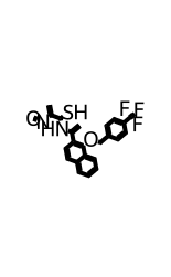 C=C(NC(S)C(=C)N=O)c1ccc2ccccc2c1OCc1ccc(C(F)(F)F)cc1